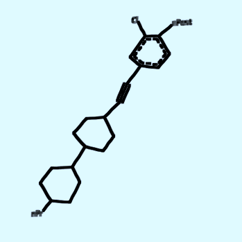 CCCCCc1ccc(C#CC2CCC(C3CCC(CCC)CC3)CC2)cc1Cl